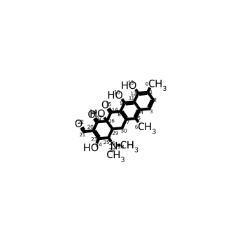 Cc1ccc2c(C)c3c(c(O)c2c1O)C(=O)C1(O)C(=O)C(C=O)=C(O)C(N(C)C)C1C3